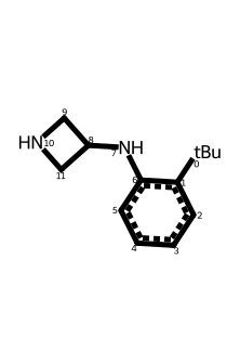 CC(C)(C)c1ccccc1NC1CNC1